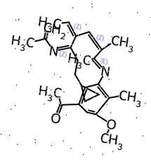 C=C(C)\N=C(CCC1CC1)/C(=C\C)/C=C(C)\C(C)=N\c1cc(C(C)=O)cc(OC)c1C